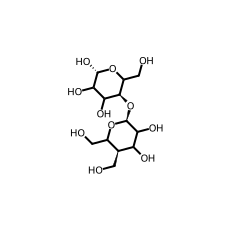 OCC1O[C@@H](O[C@@H]2C(CO)O[C@@H](O)C(O)C2O)C(O)C(O)[C@H]1CO